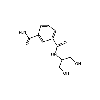 NC(=O)c1cccc(C(=O)NC(CO)CO)c1